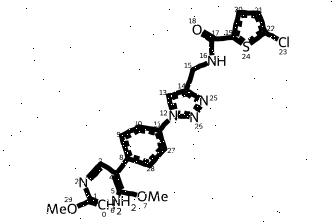 C=C(/N=C\C(=C(/N)OC)c1ccc(-n2cc(CNC(=O)c3ccc(Cl)s3)nn2)cc1)OC